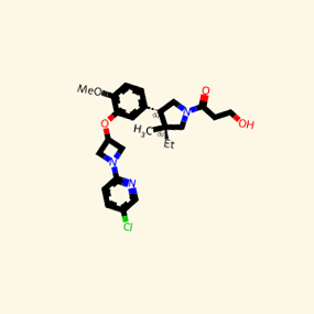 CC[C@]1(C)CN(C(=O)CCO)C[C@H]1c1ccc(OC)c(OC2CN(c3ccc(Cl)cn3)C2)c1